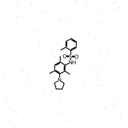 Cc1ccccc1S(=O)(=O)Nc1c(C)cc(C)c(N2CCCC2)c1C